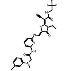 CCn1c(=C(C#N)C(=O)NCC(F)(F)F)sc(=CNc2cccc(NC(=O)CN(C)c3cccc(C)c3)n2)c1=O